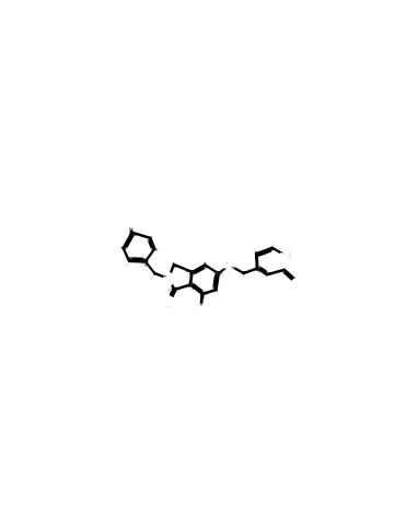 C=C/C=C(\C=C/N)CNc1cc(Cl)c2c(c1)CN(Cc1ccc(Cl)cc1)C2=O